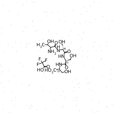 CC(O)C(N)C(=O)N[C@H](CO)C(=O)N[C@@H](CO)C(=O)N[C@@H](CO)C(=O)O.O=C(O)C(F)(F)F